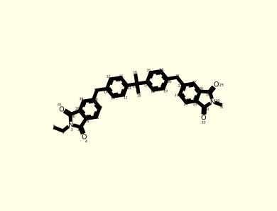 CCN1C(=O)c2ccc(Cc3ccc(C(C)(C)c4ccc(Cc5ccc6c(c5)C(=O)N(C)C6=O)cc4)cc3)cc2C1=O